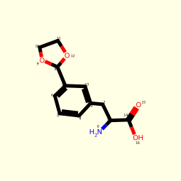 NC(Cc1cccc(C2OCCO2)c1)C(=O)O